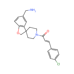 NCc1ccc2c(c1)C1(CCN(C(=O)C=Cc3ccc(Cl)cc3)CC1)CO2